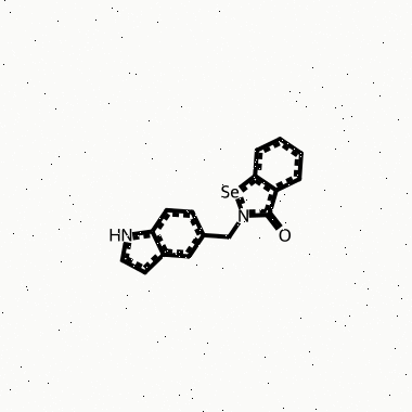 O=c1c2ccccc2[se]n1Cc1ccc2[nH]ccc2c1